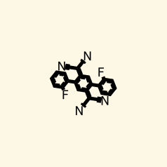 N#CC(C#N)=c1cc(-c2ccccc2F)c(=C(C#N)C#N)cc1-c1ccccc1F